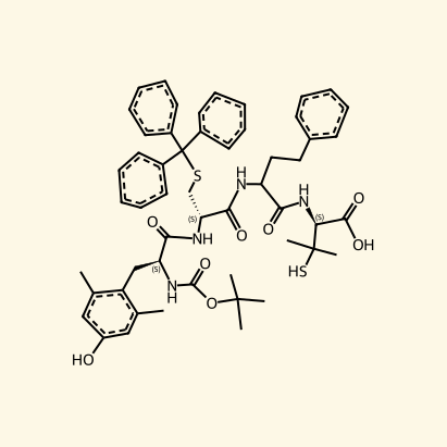 Cc1cc(O)cc(C)c1C[C@H](NC(=O)OC(C)(C)C)C(=O)N[C@H](CSC(c1ccccc1)(c1ccccc1)c1ccccc1)C(=O)NC(CCc1ccccc1)C(=O)N[C@@H](C(=O)O)C(C)(C)S